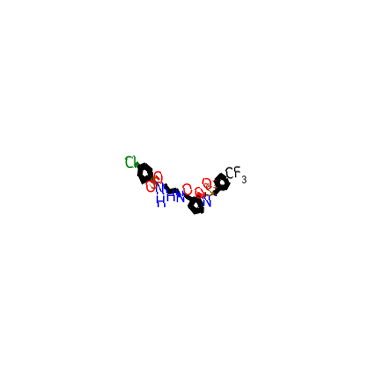 O=C(NCCCNS(=O)(=O)c1ccc(Cl)cc1)c1cccc2nc([S+]([O-])Cc3ccc(C(F)(F)F)cc3)oc12